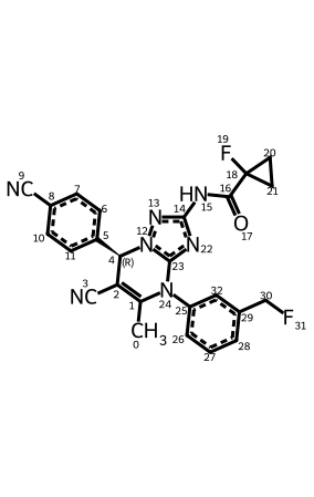 CC1=C(C#N)[C@@H](c2ccc(C#N)cc2)n2nc(NC(=O)C3(F)CC3)nc2N1c1cccc(CF)c1